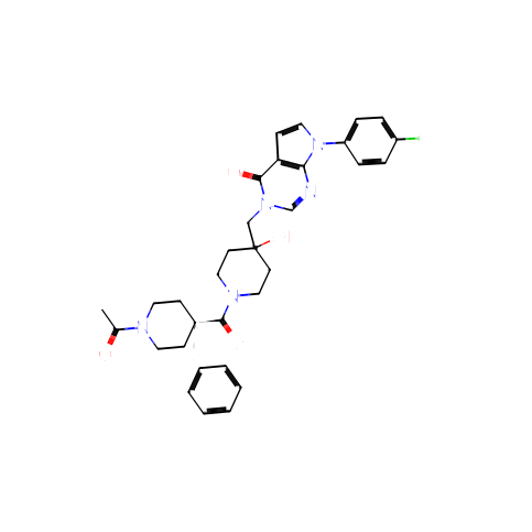 CC(=O)N1CC[C@@H](C(=O)N2CCC(O)(Cn3cnc4c(ccn4-c4ccc(Cl)cc4)c3=O)CC2)[C@H](c2ccccc2)C1